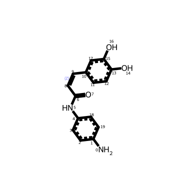 Nc1ccc(NC(=O)/C=C\c2ccc(O)c(O)c2)cc1